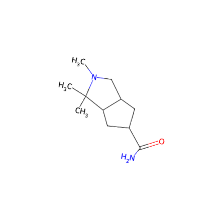 CN1CC2CC(C(N)=O)CC2C1(C)C